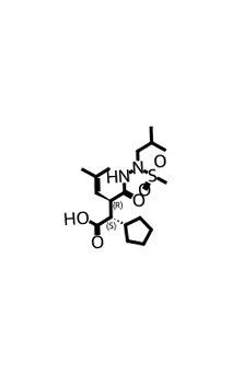 CC(C)=C[C@@H](C(=O)NN(CC(C)C)S(C)(=O)=O)[C@@H](C(=O)O)C1CCCC1